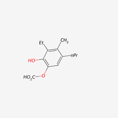 CCCc1cc(OC(=O)O)c(O)c(CC)c1C